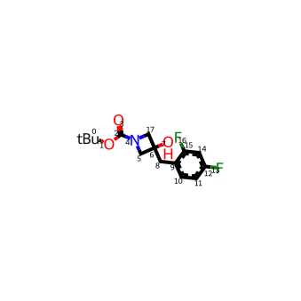 CC(C)(C)OC(=O)N1CC(O)(Cc2ccc(F)cc2F)C1